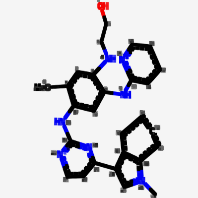 COc1cc(NCCO)c(Nc2ccccn2)cc1Nc1nccc(-c2cn(C)c3ccccc23)n1